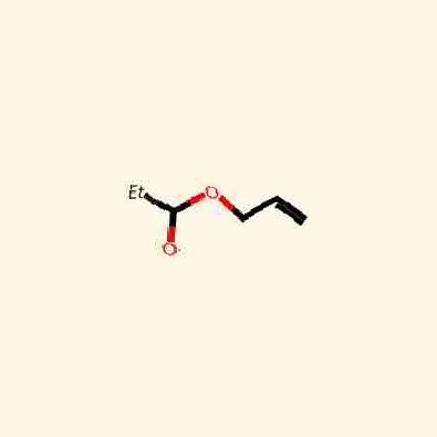 C=CCOC([O])CC